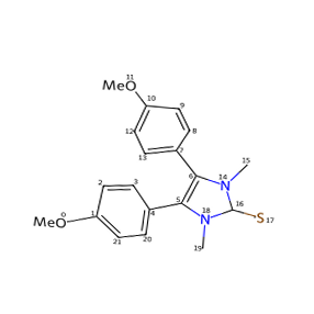 COc1ccc(C2=C(c3ccc(OC)cc3)N(C)C([S])N2C)cc1